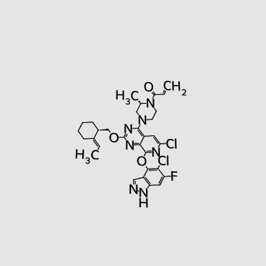 C=CC(=O)N1CCN(c2nc(OC[C@@H]3CCCC/C3=C\C)nc3c(Oc4c(Cl)c(F)cc5[nH]ncc45)nc(Cl)cc23)C[C@H]1C